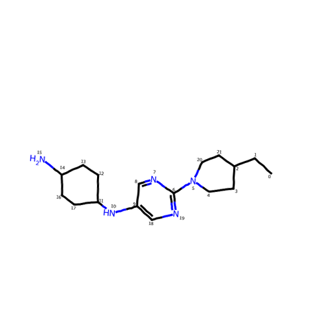 CCC1CCN(c2ncc(NC3CCC(N)CC3)cn2)CC1